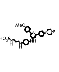 COc1ccc(-c2cc(NC3CCC(NCCCNC(=O)O)CC3)cc(-c3ccc(N4CCN(C)CC4)cc3)n2)cc1